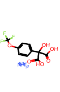 N.N.O=C(O)C(O)(C(=O)O)c1ccc(OC(F)(F)F)cc1